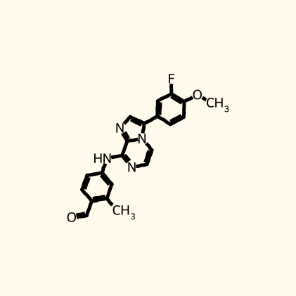 COc1ccc(-c2cnc3c(Nc4ccc(C=O)c(C)c4)nccn23)cc1F